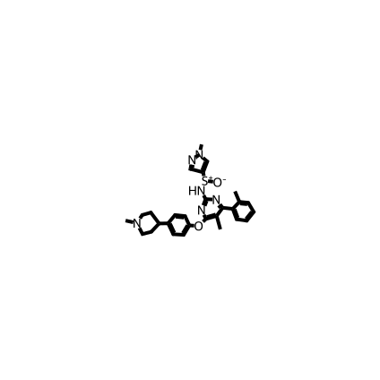 Cc1ccccc1-c1nc(N[S+]([O-])c2cnn(C)c2)nc(Oc2ccc(C3CCN(C)CC3)cc2)c1C